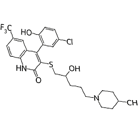 CC1CCN(CCCC(O)CSc2c(-c3cc(Cl)ccc3O)c3cc(C(F)(F)F)ccc3[nH]c2=O)CC1